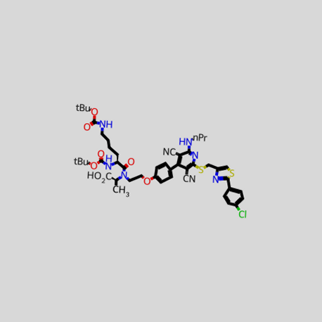 CCCNc1nc(SCc2csc(-c3ccc(Cl)cc3)n2)c(C#N)c(-c2ccc(OCCN(C(=O)[C@H](CCCCNC(=O)OC(C)(C)C)NC(=O)OC(C)(C)C)[C@@H](C)C(=O)O)cc2)c1C#N